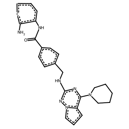 Nc1ccccc1NC(=O)c1ccc(CNc2nc(N3CCCCC3)c3cccn3n2)cc1